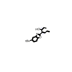 C=C/C=C(\C(O)=C/C)c1nc2cc(C(C)(C)C)ccc2o1